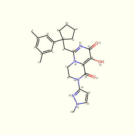 Cc1cc(C)cc(C2(Cc3nc(=O)c(O)c4n3CCN(c3ccn(C)n3)C4=O)CCCC2)c1